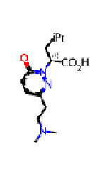 CC(C)C[C@@H](C(=O)O)n1nc(CCN(C)C)ccc1=O